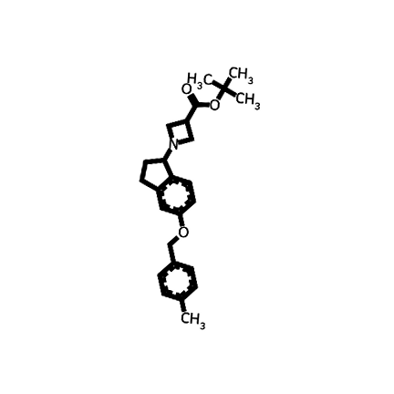 Cc1ccc(COc2ccc3c(c2)CCC3N2CC(C(=O)OC(C)(C)C)C2)cc1